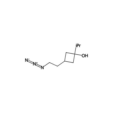 CC(C)C1(O)CC(CCN=[N+]=[N-])C1